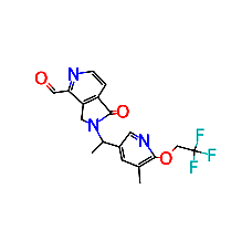 Cc1cc(C(C)N2Cc3c(ccnc3C=O)C2=O)cnc1OCC(F)(F)F